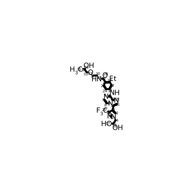 CCc1cc(Nc2nccn3c(-c4cn(CC(O)O)nc4C(F)(F)F)cnc23)ccc1C(=O)NCCOC[C@H](C)O